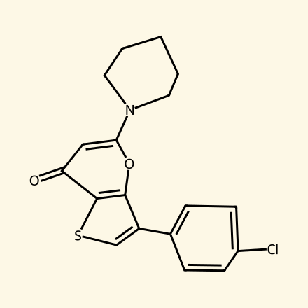 O=c1cc(N2CCCCC2)oc2c(-c3ccc(Cl)cc3)csc12